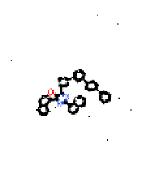 c1ccc(-c2ccc(-c3cccc(-c4cccc(-c5nc(-c6cccc7ccccc67)nc6c5oc5ccc7ccccc7c56)c4)c3)cc2)cc1